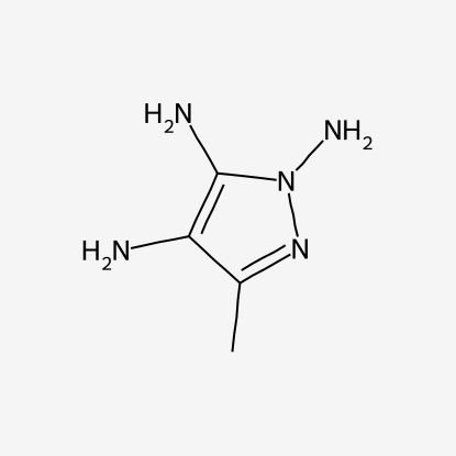 Cc1nn(N)c(N)c1N